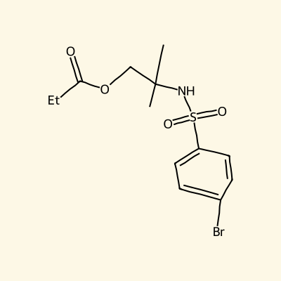 CCC(=O)OCC(C)(C)NS(=O)(=O)c1ccc(Br)cc1